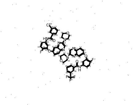 O=C(Nc1ccc(F)c(Oc2ccc3ncc(N4CCOCC4)nc3c2)c1)c1cccc(C(F)(F)F)c1.O=C(Nc1ccc(F)c(Oc2ccc3ncc(N4CCOCC4)nc3c2)c1)c1cccc(Cl)c1